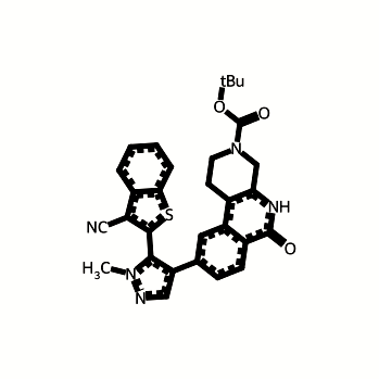 Cn1ncc(-c2ccc3c(=O)[nH]c4c(c3c2)CCN(C(=O)OC(C)(C)C)C4)c1-c1sc2ccccc2c1C#N